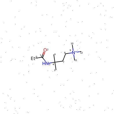 CCC(=O)NC(C)(C)CC[N+](C)(C)C